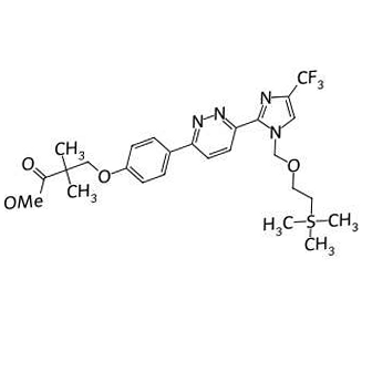 COC(=O)C(C)(C)COc1ccc(-c2ccc(-c3nc(C(F)(F)F)cn3COCCS(C)(C)C)nn2)cc1